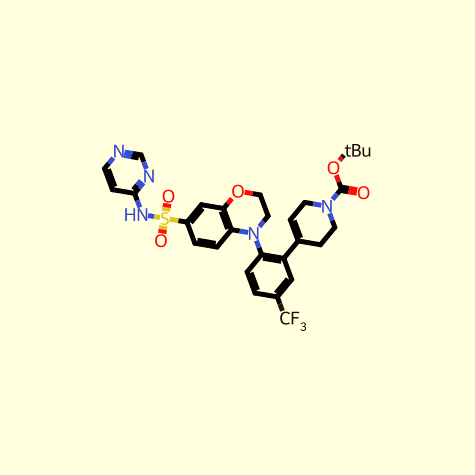 CC(C)(C)OC(=O)N1CC=C(c2cc(C(F)(F)F)ccc2N2CCOc3cc(S(=O)(=O)Nc4ccncn4)ccc32)CC1